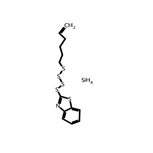 C=CCCCCSSSSc1nc2ccccc2s1.[SiH4]